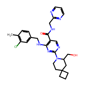 Cc1ccc(CNc2nc(N3CCC4(CCC4)CC3CO)ncc2C(=O)NCc2ncccn2)cc1Cl